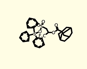 O=C(OC(CS(=O)(=O)OS(c1ccccc1)(c1ccccc1)c1ccccc1)C(F)(F)F)C12CC3CC(CC(C3)C1)C2